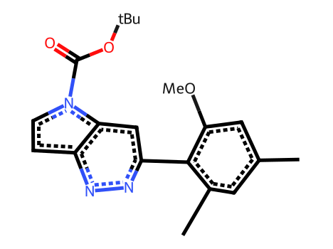 COc1cc(C)cc(C)c1-c1cc2c(ccn2C(=O)OC(C)(C)C)nn1